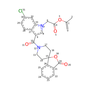 C=C(C)OC(=O)Cn1cc(C(=O)N2CCC3(CC2)OC(=O)c2ccccc23)c2ccc(Cl)cc21